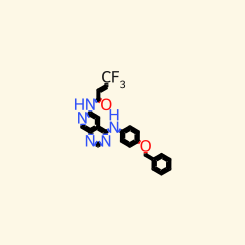 O=C(C=CC(F)(F)F)Nc1cc2c(Nc3ccc(OCc4ccccc4)cc3)ncnc2cn1